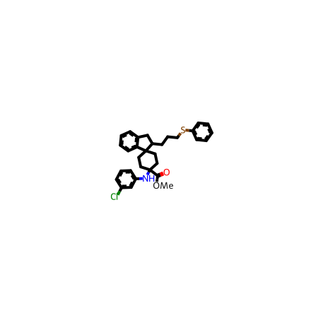 COC(=O)C1(Nc2cccc(Cl)c2)CCC2(CC1)c1ccccc1CC2CCCSc1ccccc1